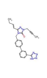 CC#CCn1nc(C=CCC)n(Cc2ccc(-c3cccc(-c4nnn[nH]4)c3)cc2)c1=O